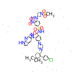 CC1(C)CCC(CN2CCN(c3ccc(C(=O)NS(=O)(=O)c4ccc(N[C@H]5CCN(S(C)(=O)=O)C5)c([N+](=O)[O-])c4)c(-n4ncc5nc6[nH]ccc6cc54)c3)CC2)=C(c2ccc(Cl)cc2)C1